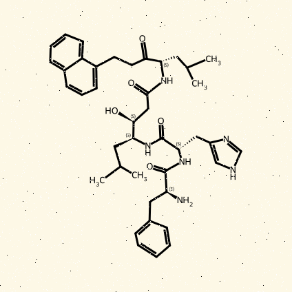 CC(C)C[C@H](NC(=O)C[C@H](O)[C@H](CC(C)C)NC(=O)[C@H](Cc1c[nH]cn1)NC(=O)[C@@H](N)Cc1ccccc1)C(=O)[CH]Cc1cccc2ccccc12